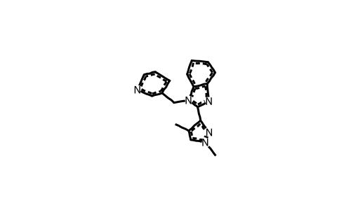 Cc1cn(C)nc1-c1nc2ccccc2n1Cc1cccnc1